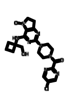 O=C(c1ncc(Cl)cn1)N1CCN(c2nc3c(c(NC4(CO)CCC4)n2)[S+]([O-])CC3)CC1